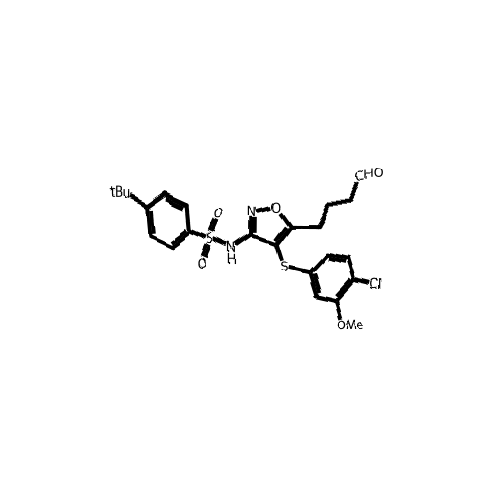 COc1cc(Sc2c(NS(=O)(=O)c3ccc(C(C)(C)C)cc3)noc2CCCC=O)ccc1Cl